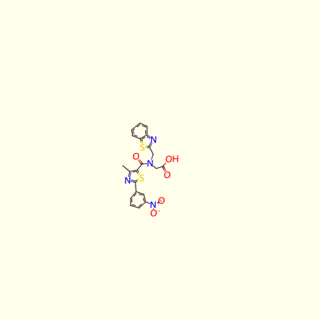 Cc1nc(-c2cccc([N+](=O)[O-])c2)sc1C(=O)N(CC(=O)O)Cc1nc2ccccc2s1